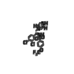 O=S(=O)(N[C@@H](CN1C[C@@H]2C[C@H]1CN2)c1ccc(Cl)c(Cl)c1)c1ccc(OC(F)(F)F)cc1